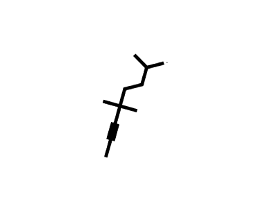 [CH2]C(C)CCC(C)(C)C#CC